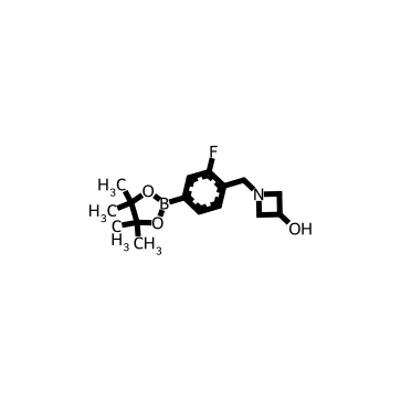 CC1(C)OB(c2ccc(CN3CC(O)C3)c(F)c2)OC1(C)C